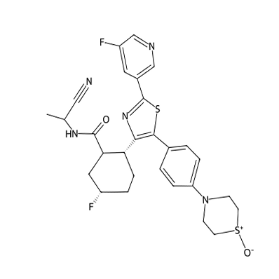 CC(C#N)NC(=O)C1C[C@@H](F)CC[C@H]1c1nc(-c2cncc(F)c2)sc1-c1ccc(N2CC[S+]([O-])CC2)cc1